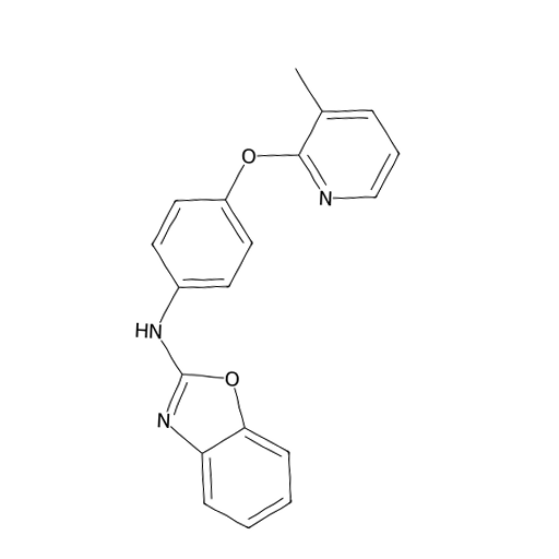 Cc1cccnc1Oc1ccc(Nc2nc3ccccc3o2)cc1